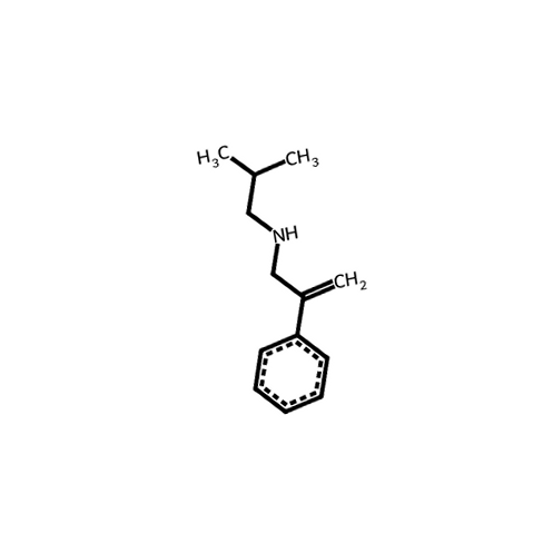 C=C(CNCC(C)C)c1ccccc1